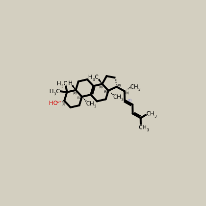 CC(C)=C/C=C/[C@@H](C)[C@H]1CC[C@@]2(C)C3=C(CC[C@]12C)[C@@]1(C)CC[C@H](O)C(C)(C)[C@@H]1CC3